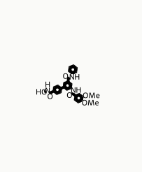 COc1ccc(C(=O)Nc2cc(C(=O)Nc3ccccc3)cc(-c3ccc(C(=O)NO)cc3)c2)cc1OC